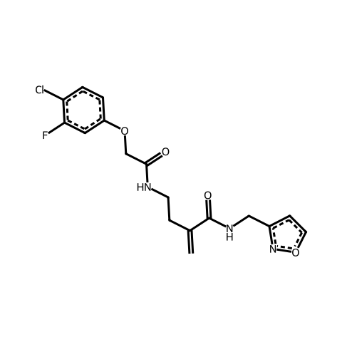 C=C(CCNC(=O)COc1ccc(Cl)c(F)c1)C(=O)NCc1ccon1